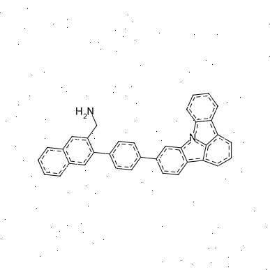 NCc1cc2ccccc2cc1-c1ccc(-c2ccc3c4cccc5c6ccccc6n(c3c2)c54)cc1